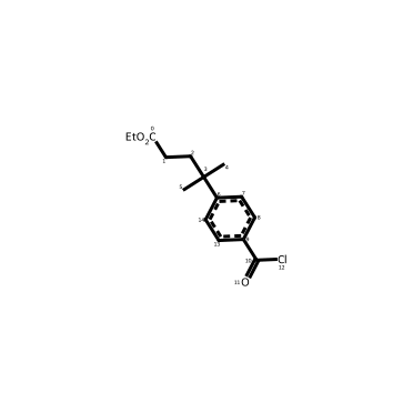 CCOC(=O)CCC(C)(C)c1ccc(C(=O)Cl)cc1